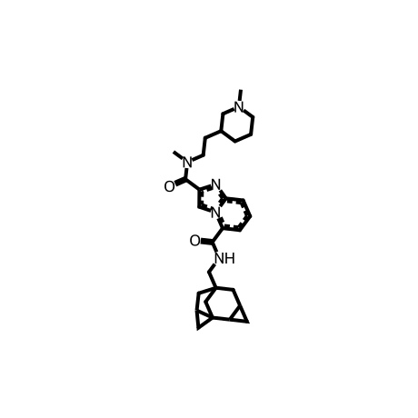 CN1CCCC(CCN(C)C(=O)c2cn3c(C(=O)NCC45CC6CC6C6(CC6C4)C5)cccc3n2)C1